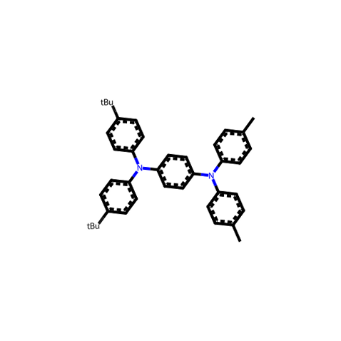 Cc1ccc(N(c2ccc(C)cc2)c2ccc(N(c3ccc(C(C)(C)C)cc3)c3ccc(C(C)(C)C)cc3)cc2)cc1